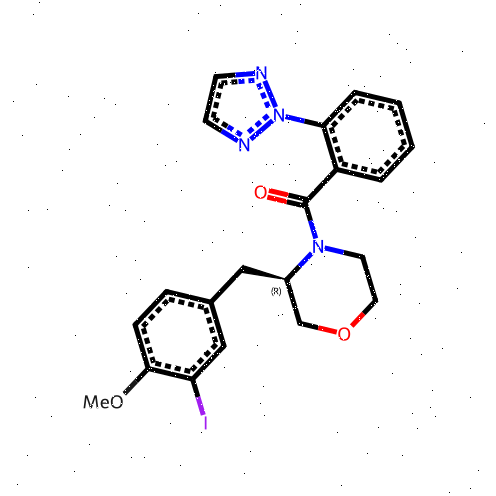 COc1ccc(C[C@@H]2COCCN2C(=O)c2ccccc2-n2nccn2)cc1I